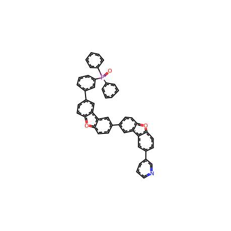 O=P(c1ccccc1)(c1ccccc1)c1cccc(-c2ccc3oc4ccc(-c5ccc6oc7ccc(-c8cccnc8)cc7c6c5)cc4c3c2)c1